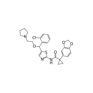 O=C(Nc1ncc(C(OCCN2CCCC2)c2ccccc2Cl)s1)C1(c2ccc3c(c2)OCO3)CC1